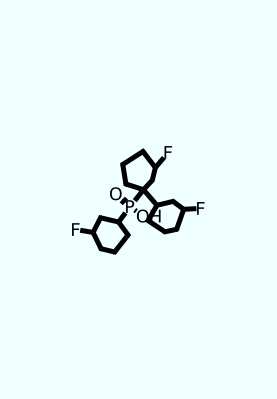 O=P(O)(C1CCCC(F)C1)C1(C2CCCC(F)C2)CCCC(F)C1